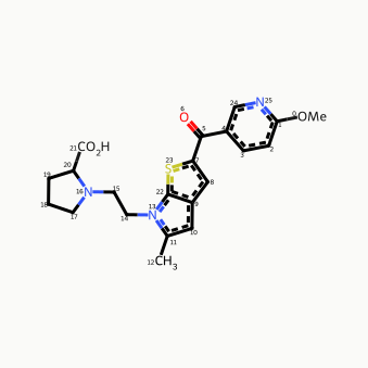 COc1ccc(C(=O)c2cc3cc(C)n(CCN4CCCC4C(=O)O)c3s2)cn1